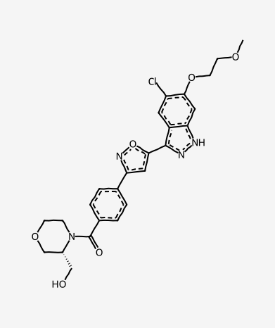 COCCOc1cc2[nH]nc(-c3cc(-c4ccc(C(=O)N5CCOC[C@H]5CO)cc4)no3)c2cc1Cl